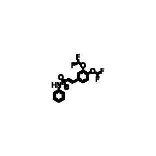 O=S(=O)(C=Cc1ccc(OC(F)F)c(OC(F)F)c1)Nc1ccccc1